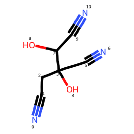 N#CCC(O)(C#N)C(O)C#N